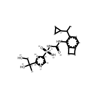 CC(c1ccc2c(c1NC(=O)NS(=N)(=O)c1cnc(C(C)(O)CO)s1)CC2)C1CC1